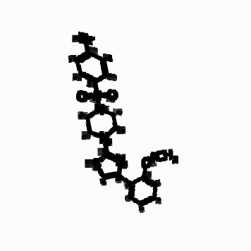 COc1ccccc1-c1csc(N2CCN(S(=O)(=O)c3ccc(Br)cc3)CC2)n1